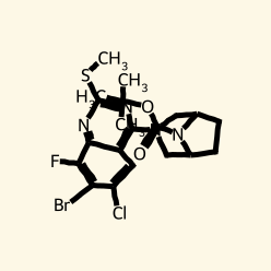 CSc1nc(N2CC3CCC(C2)N3C(=O)OC(C)(C)C)c2cc(Cl)c(Br)c(F)c2n1